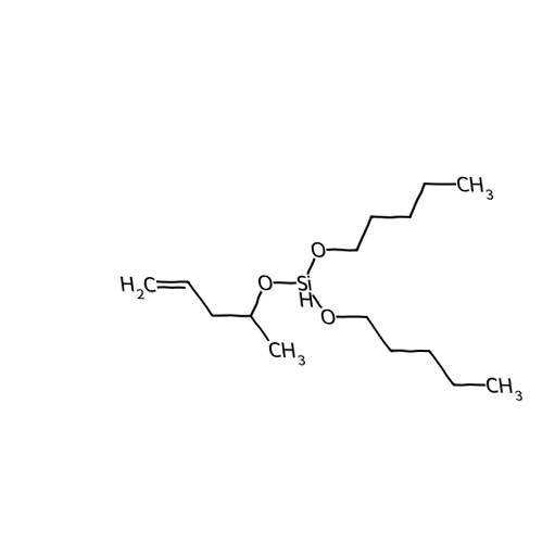 C=CCC(C)O[SiH](OCCCCC)OCCCCC